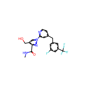 CNC(=O)c1nn(-c2cc(Cc3cc(F)cc(C(F)(F)F)c3)ccn2)cc1CO